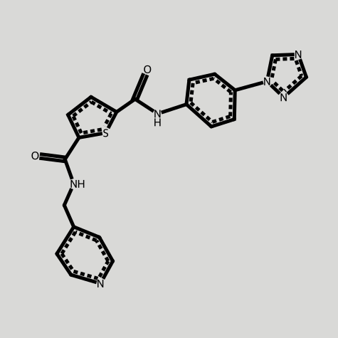 O=C(NCc1ccncc1)c1ccc(C(=O)Nc2ccc(-n3cncn3)cc2)s1